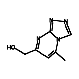 Cc1cc(CO)nc2nncn12